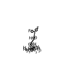 COc1c(C(C)(C)C)cc(C(=O)NCC#CCNC(=O)CCCCC(c2ccc(F)cc2)c2ccc(F)cc2)cc1C(C)(C)C